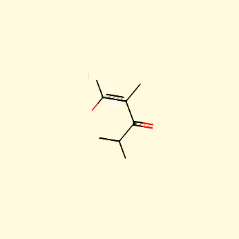 CC/C(O)=C(\C)C(=O)C(CC)CC